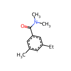 CCc1[c]c(C)cc(C(=O)N(C)C)c1